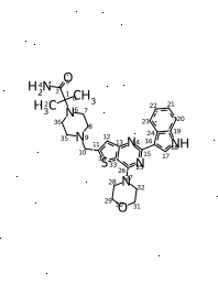 CC(C)(C(N)=O)N1CCN(Cc2cc3nc(-c4c[nH]c5ccccc45)nc(N4CCOCC4)c3s2)CC1